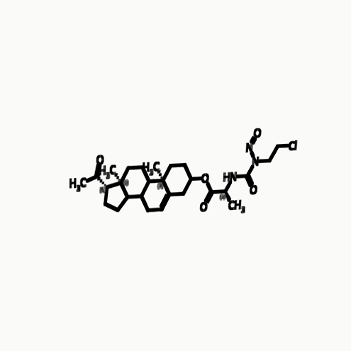 CC(=O)[C@H]1CCC2C3CC=C4CC(OC(=O)[C@H](C)NC(=O)N(CCCl)N=O)CC[C@]4(C)C3CC[C@@]21C